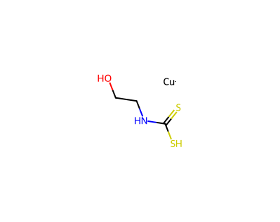 OCCNC(=S)S.[Cu]